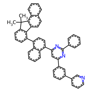 CC1(C)c2cccc(-c3ccc(-c4cc(-c5cccc(-c6cccnc6)c5)nc(-c5ccccc5)n4)c4ccccc34)c2-c2ccc3ccccc3c21